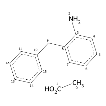 CC(=O)O.Nc1ccccc1Cc1ccccc1